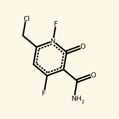 NC(=O)c1c(F)cc(CCl)n(F)c1=O